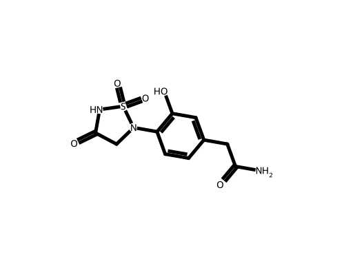 NC(=O)Cc1ccc(N2CC(=O)NS2(=O)=O)c(O)c1